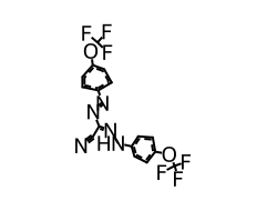 N#CC(N=Nc1ccc(OC(F)(F)F)cc1)=NNc1ccc(OC(F)(F)F)cc1